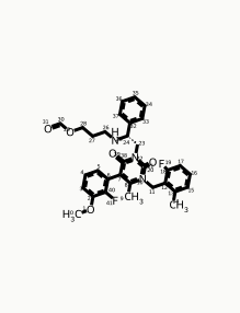 COc1cccc(-c2c(C)n(Cc3c(C)cccc3F)c(=O)n(C[C@H](NCCCOC=O)c3ccccc3)c2=O)c1F